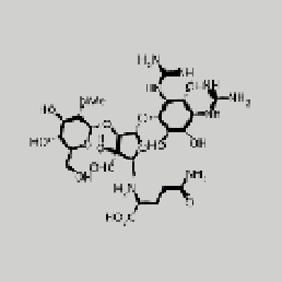 CN[C@@H]1[C@H](O[C@H]2[C@H](O[C@H]3[C@H](O)[C@@H](O)[C@H](NC(=N)N)[C@@H](O)[C@@H]3NC(=N)N)O[C@@H](C)[C@]2(O)C=O)O[C@@H](CO)[C@H](O)[C@H]1O.NC(=O)CC[C@H](N)C(=O)O